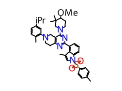 COC1CCN(c2nc(-c3cccc4c3c(C)cn4S(=O)(=O)c3ccc(C)cc3)nc3c2CN(c2cc(C(C)C)ccc2C)CC3)CC1(C)C